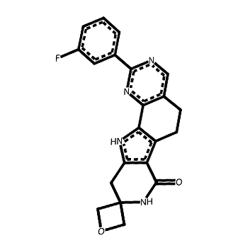 O=C1NC2(COC2)Cc2[nH]c3c(c21)CCc1cnc(-c2cccc(F)c2)nc1-3